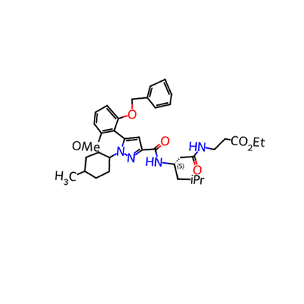 CCOC(=O)CCNC(=O)C[C@H](CC(C)C)NC(=O)c1cc(-c2c(OC)cccc2OCc2ccccc2)n(C2CCC(C)CC2)n1